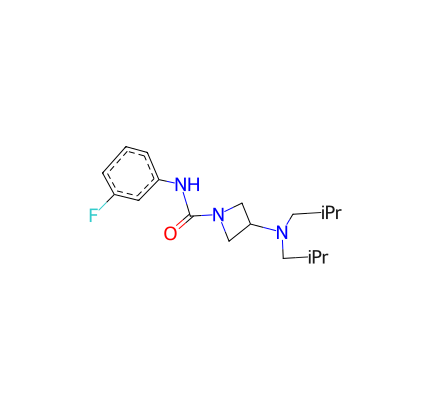 CC(C)CN(CC(C)C)C1CN(C(=O)Nc2cccc(F)c2)C1